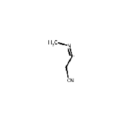 C/N=[C]\CC#N